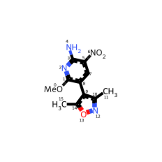 COc1nc(N)c([N+](=O)[O-])cc1-c1c(C)noc1C